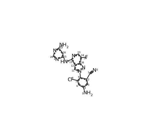 N#Cc1cc(N)cc(Cl)c1-n1cc2c(Nc3cc(N)ncn3)ncc(F)c2n1